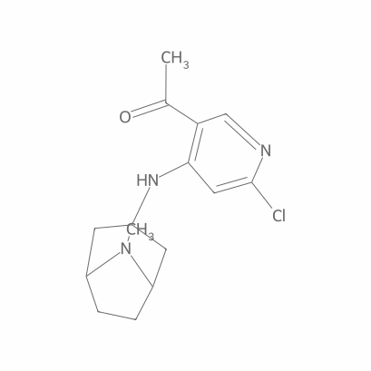 CC(=O)c1cnc(Cl)cc1NC1CC2CCC(C1)N2C